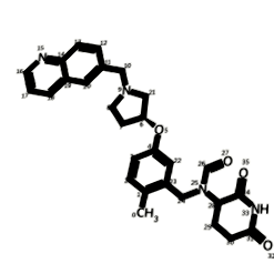 Cc1ccc(O[C@H]2CCN(Cc3ccc4ncccc4c3)C2)cc1CN(C=O)C1CCC(=O)NC1=O